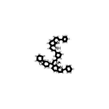 CN1c2c(ccc3ccc(-c4ccccc4)nc23)C(C2C=Cc3oc4ccccc4c3C2)=CC1c1cccc(C2C=Cc3ccc4ccc(-c5ccccc5)nc4c3N2)c1